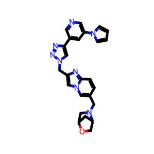 c1ccn(-c2cncc(-c3cn(Cc4cn5cc(CN6CC7CC6CO7)ccc5n4)nn3)c2)c1